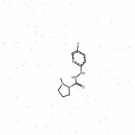 CN1CCC[C@@H]1C(=O)NNc1ccc(F)cn1